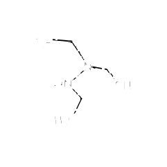 C[CH]N(CC)NCC